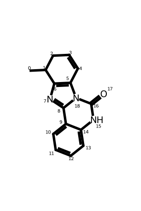 CC1CC=Cc2c1nc1c3ccccc3[nH]c(=O)n21